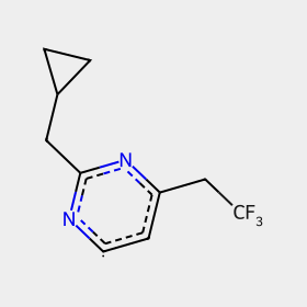 FC(F)(F)Cc1c[c]nc(CC2CC2)n1